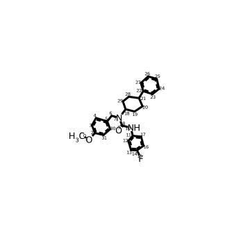 COc1ccc(CN(C(=O)Nc2ccc(F)cc2)C2CCC(c3ccccc3)CC2)cc1